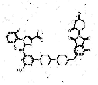 Cc1nc(NC2SC(C(N)=O)=CN2c2c(C)cccc2Cl)cc(N2CCC(N3CCN(Cc4cc(F)c5c(c4)C(=O)N(C4CCC(=O)NC4=O)C5=O)CC3)CC2)n1